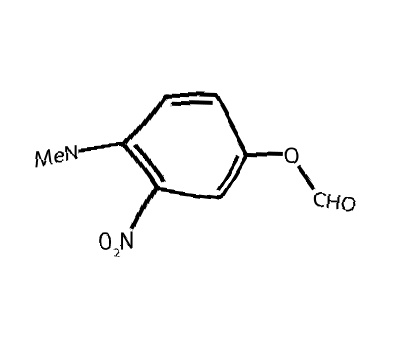 CNc1ccc(OC=O)cc1[N+](=O)[O-]